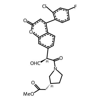 COC(=O)C[C@H]1CCN(C(=O)[C@@H](C=O)c2ccc3c(-c4ccc(F)cc4Cl)cc(=O)oc3c2)C1